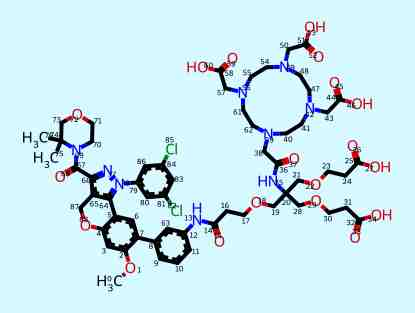 COc1cc2c(cc1-c1cccc(NC(=O)CCOCC(COCCC(=O)O)(COCCC(=O)O)NC(=O)CN3CCN(CC(=O)O)CCN(CC(=O)O)CCN(CC(=O)O)CC3)c1)-c1c(c(C(=O)N3CCOCC3(C)C)nn1-c1cc(Cl)cc(Cl)c1)CO2